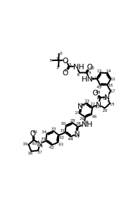 CC(C)(C)OC(=O)NCC(=O)Nc1cccc(CN2CCN(c3cncc(Nc4ccc(-c5ccc(N6CCCC6=O)cc5)cn4)c3)C2=O)c1